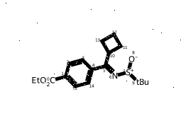 CCOC(=O)c1ccc(/C(=N/[S+]([O-])C(C)(C)C)C2CCC2)cc1